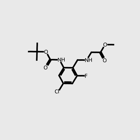 COC(=O)CNCc1c(F)cc(Cl)cc1NC(=O)OC(C)(C)C